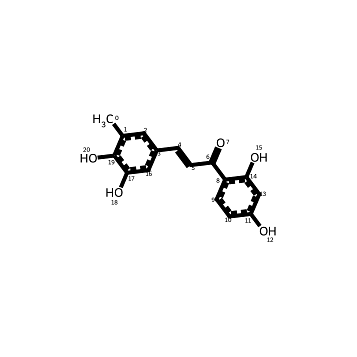 Cc1cc(/C=C/C(=O)c2ccc(O)cc2O)cc(O)c1O